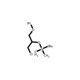 CC(C)OCC(CCl)O[Si](C)(C)C(C)(C)C